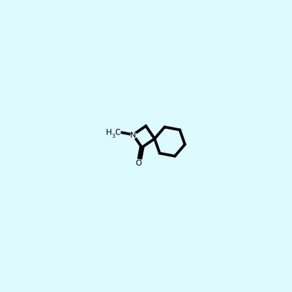 CN1CC2(CCCCC2)C1=O